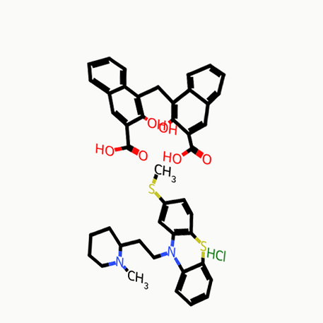 CSc1ccc2c(c1)N(CCC1CCCCN1C)c1ccccc1S2.Cl.O=C(O)c1cc2ccccc2c(Cc2c(O)c(C(=O)O)cc3ccccc23)c1O